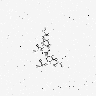 C=CC(=O)Oc1cc(OC(=O)C=C)cc(C(=O)Oc2ccc(OC(=O)C=C)cc2OC(=O)C=C)c1